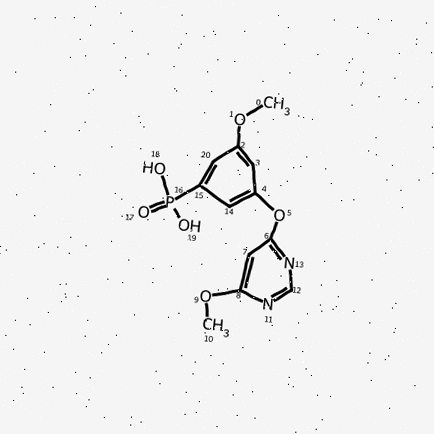 COc1cc(Oc2cc(OC)ncn2)cc(P(=O)(O)O)c1